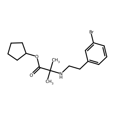 CC(C)(NCCc1cccc(Br)c1)C(=O)OC1CCCC1